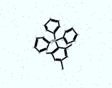 Cc1cc(C)[c]([BiH]([c]2ccccc2)([c]2ccccc2)[c]2ccccc2)c(C)c1